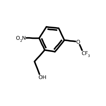 O=[N+]([O-])c1ccc(OC(F)(F)F)cc1CO